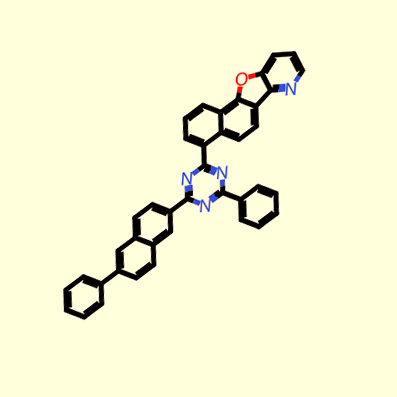 c1ccc(-c2ccc3cc(-c4nc(-c5ccccc5)nc(-c5cccc6c5ccc5c7ncccc7oc65)n4)ccc3c2)cc1